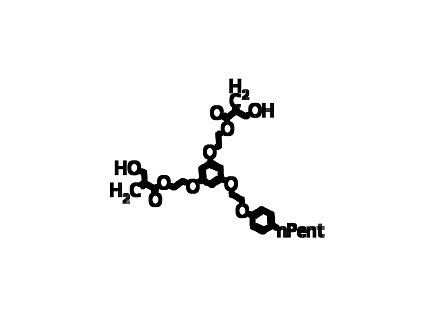 C=C(CO)C(=O)OCCOc1cc(OCCOC(=O)C(=C)CO)cc(OCCOc2ccc(CCCCC)cc2)c1